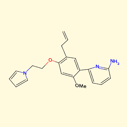 C=CCc1cc(-c2cccc(N)n2)c(OC)cc1OCCn1cccc1